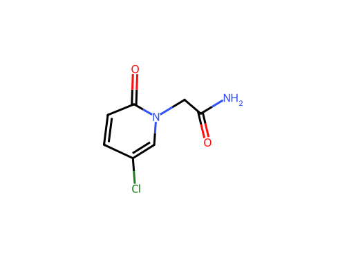 NC(=O)Cn1cc(Cl)ccc1=O